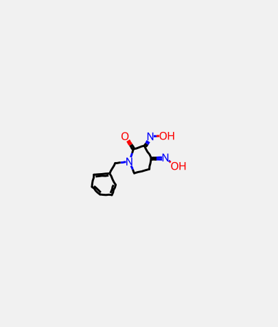 O=C1C(=N/O)/C(=N/O)CCN1Cc1ccccc1